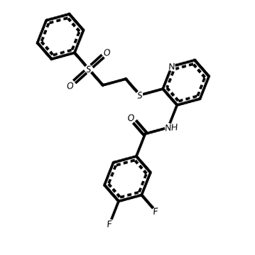 O=C(Nc1cccnc1SCCS(=O)(=O)c1ccccc1)c1ccc(F)c(F)c1